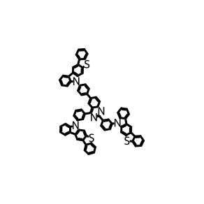 c1cc(-c2nc(-c3cccc(-n4c5ccccc5c5cc6c(cc54)sc4ccccc46)c3)c3cc(-c4ccc(-n5c6ccccc6c6cc7c(cc65)sc5ccccc57)cc4)ccc3n2)cc(-n2c3ccccc3c3cc4c(cc32)sc2ccccc24)c1